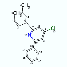 C/C=C\C(=C/CC)c1cc(Cl)cc(-c2ccccc2)n1